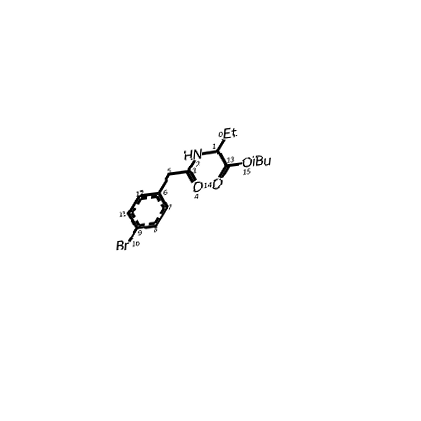 CCC(NC(=O)Cc1ccc(Br)cc1)C(=O)OCC(C)C